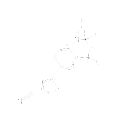 CC1(C)Nc2ccc(-c3csc(C#N)c3)cc2C(C)(C)O1